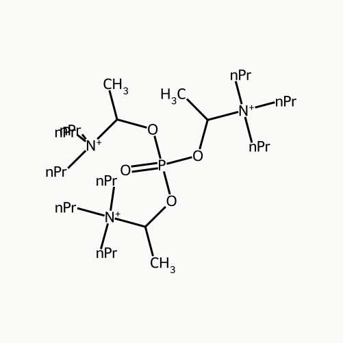 CCC[N+](CCC)(CCC)C(C)OP(=O)(OC(C)[N+](CCC)(CCC)CCC)OC(C)[N+](CCC)(CCC)CCC